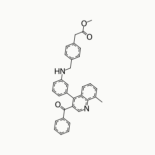 COC(=O)Cc1ccc(CNc2cccc(-c3c(C(=O)c4ccccc4)cnc4c(C)cccc34)c2)cc1